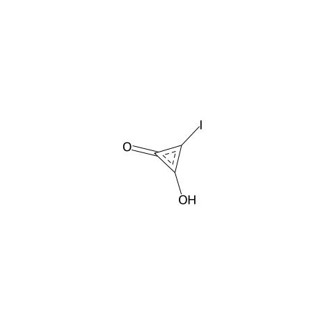 O=c1c(O)c1I